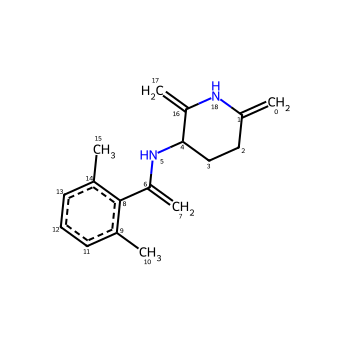 C=C1CCC(NC(=C)c2c(C)cccc2C)C(=C)N1